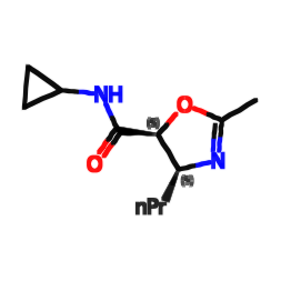 CCC[C@@H]1N=C(C)O[C@@H]1C(=O)NC1CC1